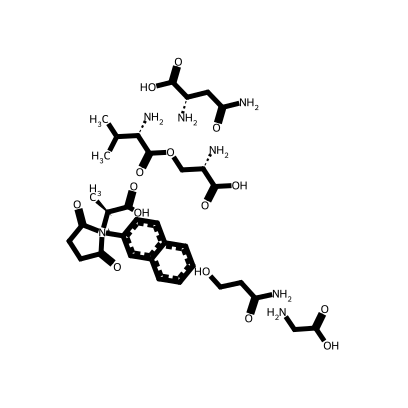 CC(C)[C@H](N)C(=O)OC[C@H](N)C(=O)O.C[C@@H](C(=O)O)[N+]1(c2ccc3ccccc3c2)C(=O)CCC1=O.NC(=O)CCO.NC(=O)C[C@H](N)C(=O)O.NCC(=O)O